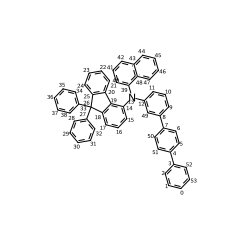 c1ccc(-c2ccc(-c3cccc(N(c4cccc5c4-c4ccccc4C5(c4ccccc4)c4ccccc4)c4cccc5ccccc45)c3)cc2)cc1